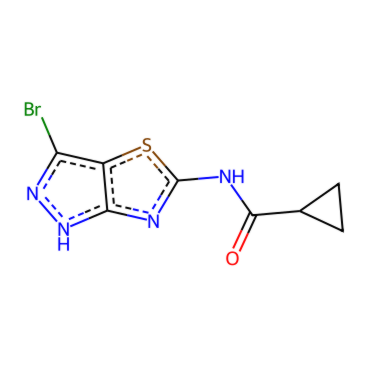 O=C(Nc1nc2[nH]nc(Br)c2s1)C1CC1